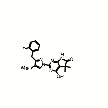 COc1cn(-c2nc(O)c3c(n2)NC(=O)C3(C)C)nc1Cc1ccccc1F